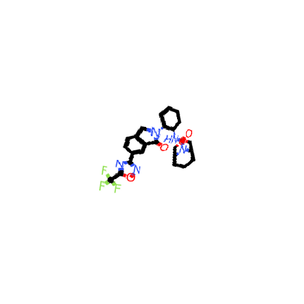 O=C(N[C@@H]1CCCC[C@H]1N1Cc2ccc(-c3noc(C(F)(F)F)n3)cc2C1=O)N1C2CCCC1COC2